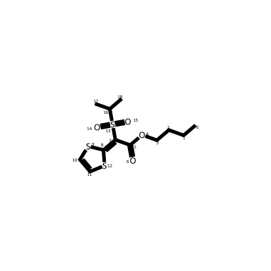 CCCCOC(=O)C(=C1SC=CS1)S(=O)(=O)C(C)C